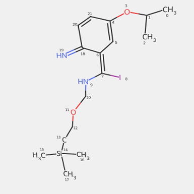 CC(C)OC1=C/C(=C(\I)NCOCC[Si](C)(C)C)C(=N)C=C1